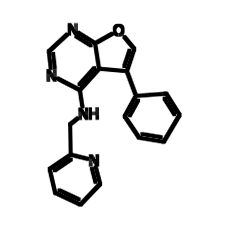 c1ccc(-c2coc3ncnc(NCc4ccccn4)c23)cc1